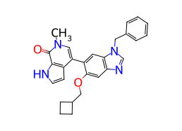 Cn1cc(-c2cc3c(cc2OCC2CCC2)ncn3Cc2ccccc2)c2cc[nH]c2c1=O